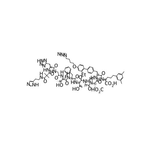 CCc1cc(OCCCCN=[N+]=[N-])ccc1-c1ccc(C[C@H](NC(=O)[C@H](CC(=O)O)NC(=O)[C@H](C)NC(=O)[C@@H](NC(=O)[C@](C)(Cc2ccccc2F)NC(=O)[C@@H](NC(=O)CNC(=O)[C@H](Cc2nn[nH]n2)NC(=O)C(C)(C)C(=O)NCCc2cnc[nH]2)[C@@H](C)O)[C@@H](C)O)C(=O)N[C@@H](CCCc2cc(C)cc(C)c2)C(=O)O)cc1